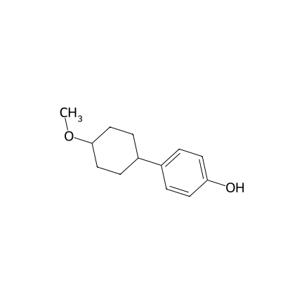 COC1CCC(c2ccc(O)cc2)CC1